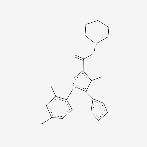 Cc1c(C(=O)NN2CCCCC2)nn(-c2ccc(Cl)cc2Cl)c1-c1ccc[se]1